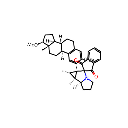 COc1cc2c(cc1[C@@]13[C@@H](C)[C@]1(C)[C@@H]1CCCN1C31C(=O)c3ccccc3C1=O)[C@H]1CC[C@]3(C)[C@@H](OC)CC[C@H]3[C@@H]1CC2